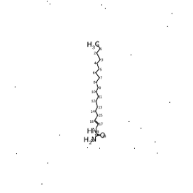 CCCCCCCCCCCCCCCCC=CNC(N)=O